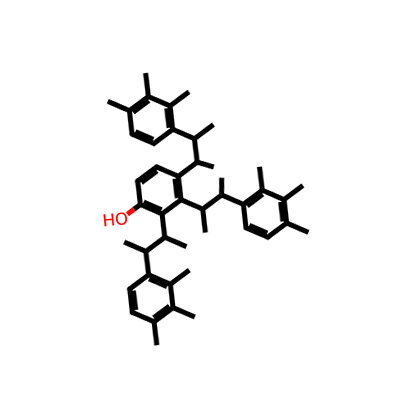 Cc1ccc(C(C)C(C)c2ccc(O)c(C(C)C(C)c3ccc(C)c(C)c3C)c2C(C)C(C)c2ccc(C)c(C)c2C)c(C)c1C